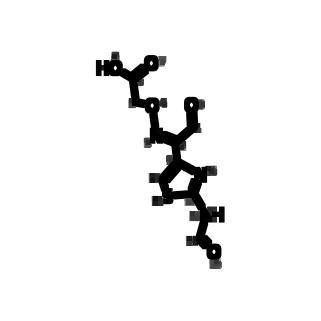 O=[C]C(=NOCC(=O)O)c1csc(NC=O)n1